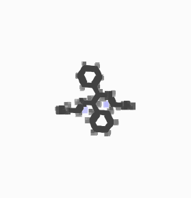 CC(C)(C)/C=N/[C@H](c1ccccc1)[C@H](/N=C/C(C)(C)C)c1ccccc1